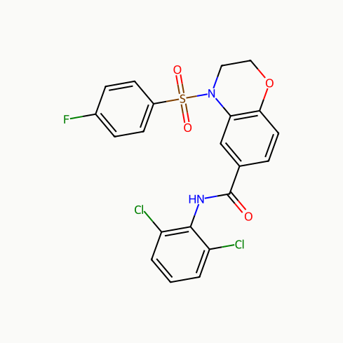 O=C(Nc1c(Cl)cccc1Cl)c1ccc2c(c1)N(S(=O)(=O)c1ccc(F)cc1)CCO2